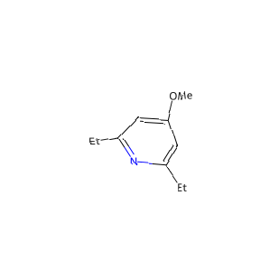 CCc1cc(OC)cc(CC)n1